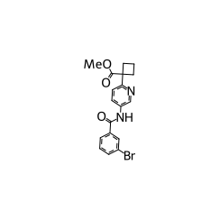 COC(=O)C1(c2ccc(NC(=O)c3cccc(Br)c3)cn2)CCC1